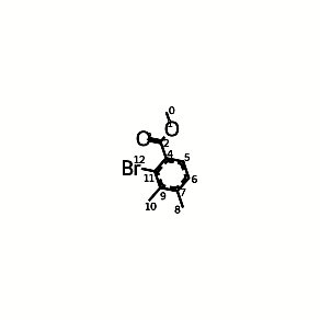 COC(=O)c1ccc(C)c(C)c1Br